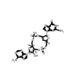 Nc1nc2c(ncn2[C@@H]2O[C@@H]3CO[PH](=O)O[C@H]4[C@@H](O)[C@H](n5cnc6c(N)ncnc65)O[C@@H]4COP(=O)(S)O[C@@H]2C3)c(=O)[nH]1